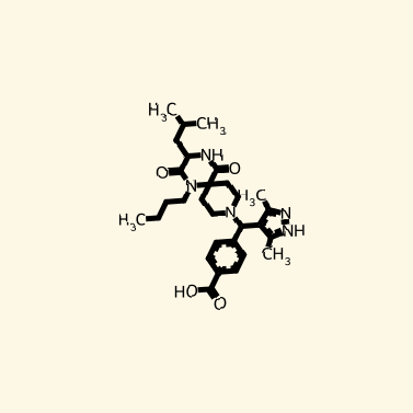 CCCCN1C(=O)C(CC(C)C)NC(=O)C12CCN(C(c1ccc(C(=O)O)cc1)c1c(C)n[nH]c1C)CC2